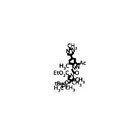 CCOC(=O)[C@@H]1C[C@](C)(CO[Si](C)(C)C(C)(C)C)[C@@H](C)N1C(=O)Cn1nc(C(C)=O)c2cc(-c3cnc(C)nc3)cc(C)c21